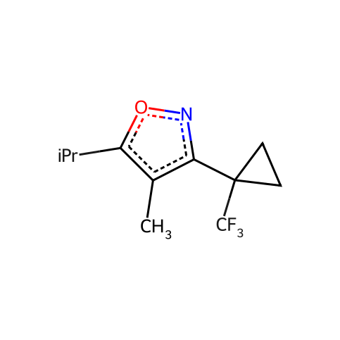 Cc1c(C2(C(F)(F)F)CC2)noc1C(C)C